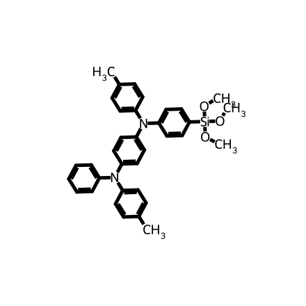 CO[Si](OC)(OC)c1ccc(N(c2ccc(C)cc2)c2ccc(N(c3ccccc3)c3ccc(C)cc3)cc2)cc1